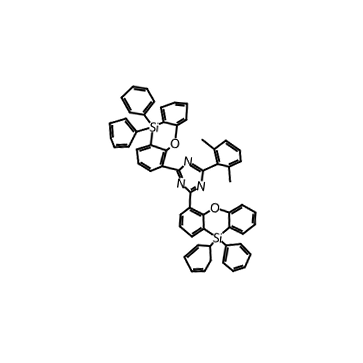 Cc1cccc(C)c1-c1nc(-c2cccc3c2Oc2ccccc2[Si]3(c2ccccc2)c2ccccc2)nc(-c2cccc3c2Oc2ccccc2[Si]3(c2ccccc2)C2C=CC=CC2)n1